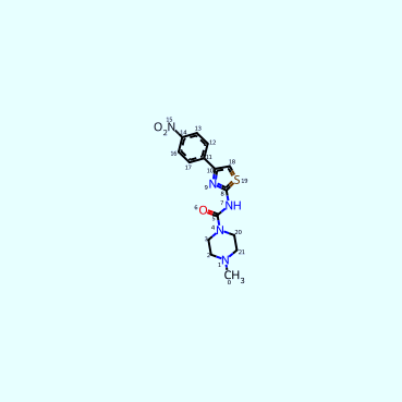 CN1CCN(C(=O)Nc2nc(-c3ccc([N+](=O)[O-])cc3)cs2)CC1